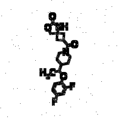 CC(Oc1ccc(F)cc1F)C1CCN(C(=O)C2CC3(COC(=O)N3)C2)CC1